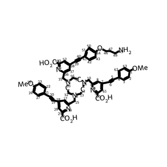 COc1ccc(C#Cc2cc(CN3CCN(Cc4cc(C#Cc5ccc(OC)cc5)cc(C(=O)O)n4)CCN(Cc4cc(C#Cc5ccc(OCCCN)cc5)cc(C(=O)O)n4)CC3)nc(C(=O)O)c2)cc1